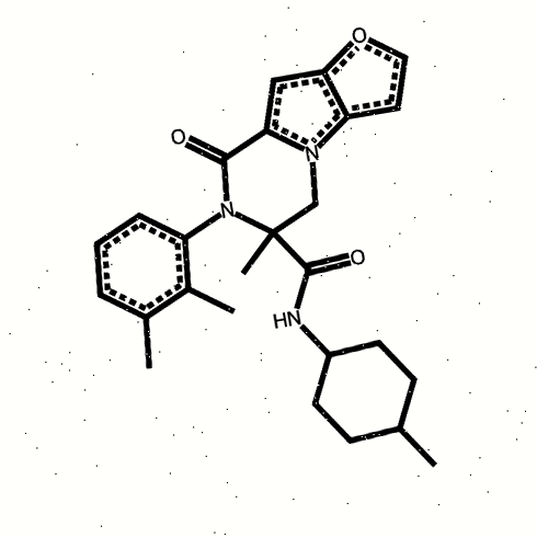 Cc1cccc(N2C(=O)c3cc4occc4n3CC2(C)C(=O)NC2CCC(C)CC2)c1C